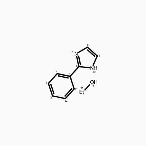 CCO.c1ccc(-c2ncc[nH]2)cc1